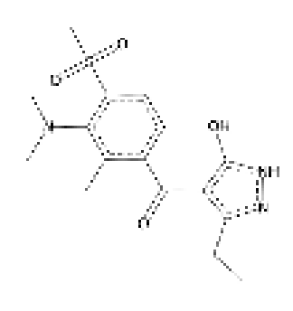 CCc1n[nH]c(O)c1C(=O)c1ccc(S(C)(=O)=O)c(N(C)C)c1C